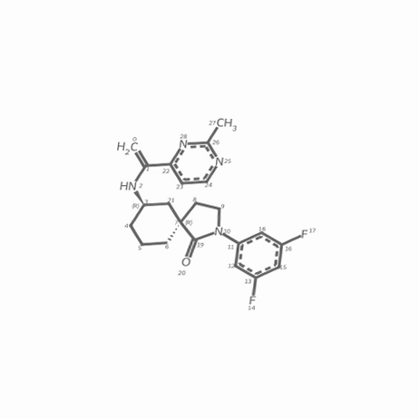 C=C(N[C@@H]1CCC[C@@]2(CCN(c3cc(F)cc(F)c3)C2=O)C1)c1ccnc(C)n1